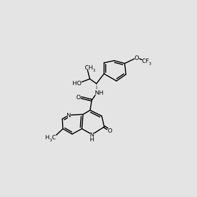 Cc1cnc2c(C(=O)N[C@@H](c3ccc(OC(F)(F)F)cc3)C(C)O)cc(=O)[nH]c2c1